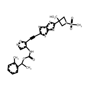 Cc1ccccc1C(C)OC(=O)Nc1cnoc1C#Cc1nc2sc(C3(C(=O)O)CN(S(C)(=O)=O)C3)nc2s1